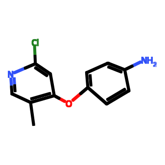 Cc1cnc(Cl)cc1Oc1ccc(N)cc1